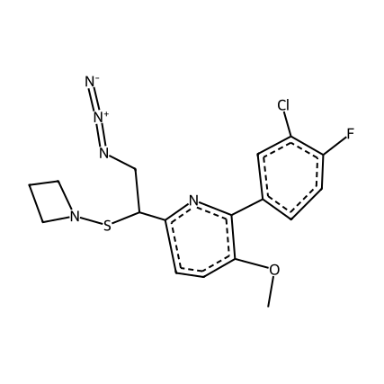 COc1ccc(C(CN=[N+]=[N-])SN2CCC2)nc1-c1ccc(F)c(Cl)c1